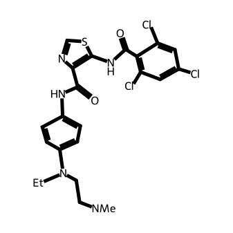 CCN(CCNC)c1ccc(NC(=O)c2ncsc2NC(=O)c2c(Cl)cc(Cl)cc2Cl)cc1